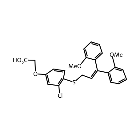 COc1ccccc1C(=CCSc1ccc(OCC(=O)O)cc1Cl)c1ccccc1OC